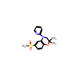 CC1(C)CN(c2ccccn2)c2cc(S(C)(=O)=O)ccc2O1